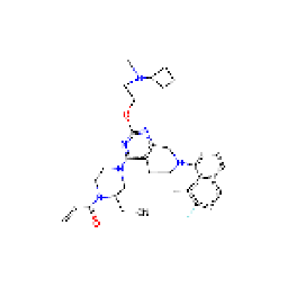 C=CC(=O)N1CCN(c2nc(OCCN(C)C3CCC3)nc3c2CCN(c2cccc4ccc(F)c(C)c24)C3)CC1CC#N